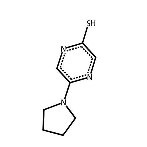 Sc1cnc(N2CCCC2)cn1